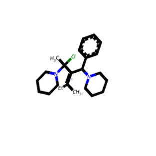 CC/C(C)=C(/C(c1ccccc1)N1CCCCC1)C(C)(Cl)N1CCCCC1